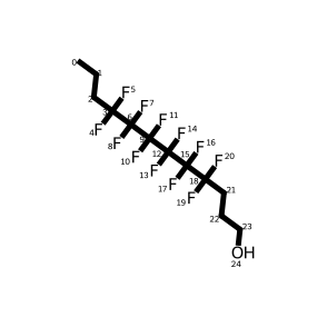 CCCC(F)(F)C(F)(F)C(F)(F)C(F)(F)C(F)(F)C(F)(F)CCCO